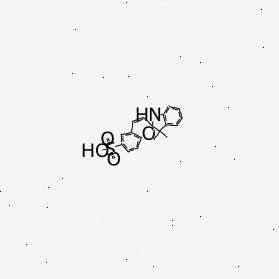 CC1(C)c2ccccc2NC12C=Cc1cc(S(=O)(=O)O)ccc1O2